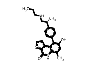 CCCNC[C@H](C)c1ccc(-c2c(O)cc(C)c3[nH]c(=O)c4sccc4c23)cc1